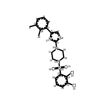 Cc1cccc(-c2csc(N3CCN(S(=O)(=O)c4cccc(Cl)c4Cl)CC3)n2)c1C